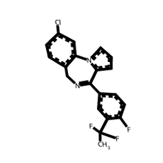 CC(F)(F)c1cc(C2=NCc3ccc(Cl)cc3-n3cccc32)ccc1F